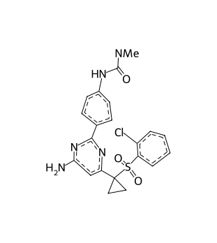 CNC(=O)Nc1ccc(-c2nc(N)cc(C3(S(=O)(=O)c4ccccc4Cl)CC3)n2)cc1